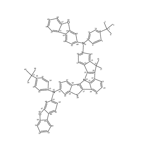 CC(C)(C)c1ccc(N(c2ccc3c(c2)C(C)(C)c2c-3n3c4c2cccc4c2sc4cc(N(c5ccc(C(C)(C)C)cc5)c5ccc6c(c5)oc5ccccc56)ccc4c23)c2ccc3c(c2)oc2ccccc23)cc1